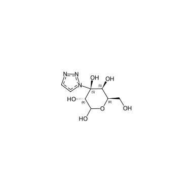 OC[C@H]1OC(O)[C@H](O)[C@](O)(n2ccnn2)[C@H]1O